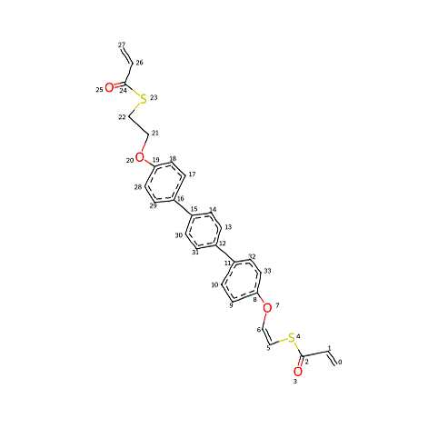 C=CC(=O)S/C=C\Oc1ccc(-c2ccc(-c3ccc(OCCSC(=O)C=C)cc3)cc2)cc1